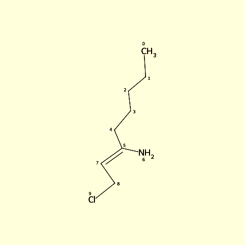 CCCCCC(N)=CCCl